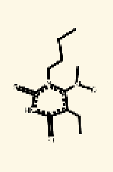 CCCCn1c([S+](C)[O-])c(CC)c(=O)[nH]c1=S